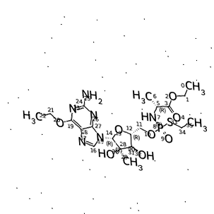 CCOC(=O)[C@@H](C)N[P@@](=O)(OC[C@H]1O[C@@H](n2cnc3c(OCC)nc(N)nc32)[C@](C)(O)[C@@H]1O)SCC